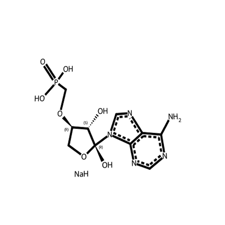 Nc1ncnc2c1ncn2[C@]1(O)OC[C@@H](OCP(=O)(O)O)[C@@H]1O.[NaH]